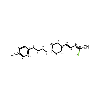 CCc1ccc(CCCC[C@H]2CC[C@H](C=CC=C(F)C#N)CC2)cc1